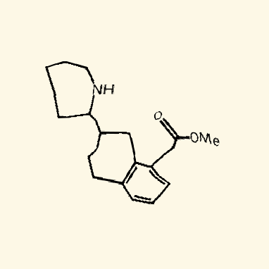 COC(=O)c1cccc2c1CC(C1CCCCCN1)CC2